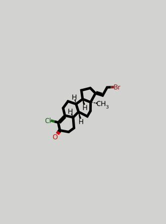 C[C@]12CC[C@H]3[C@@H](CCC4=C(Cl)C(=O)CC[C@@H]43)[C@@H]1CCC2=CCBr